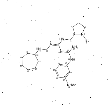 CCN1CCCC1CNC(=N/CNC1CCCCCC1)/N=C(\N)Nc1cccc(NC(C)=O)c1